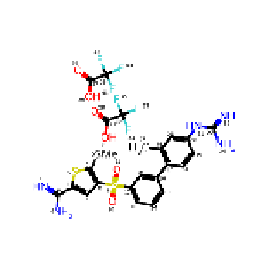 CSc1sc(C(=N)N)cc1S(=O)(=O)c1cccc(-c2ccc(NC(=N)N)cc2C)c1.O=C(O)C(F)(F)F.O=C(O)C(F)(F)F